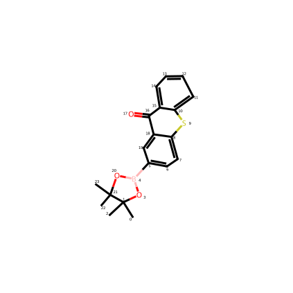 CC1(C)OB(c2ccc3sc4ccccc4c(=O)c3c2)OC1(C)C